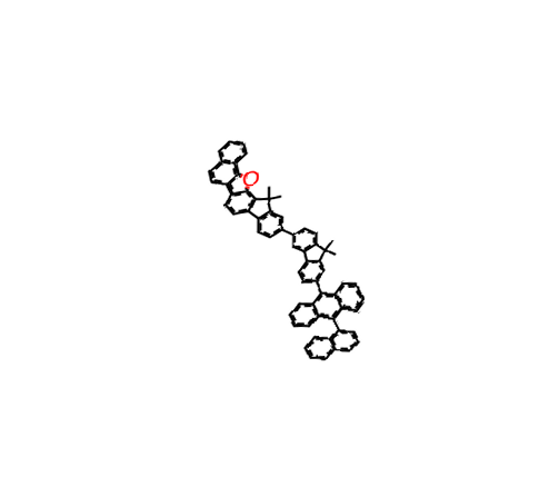 CC1(C)c2ccc(-c3ccc4c(c3)C(C)(C)c3c-4ccc4c3oc3c5ccccc5ccc43)cc2-c2ccc(-c3c4ccccc4c(-c4cccc5ccccc45)c4ccccc34)cc21